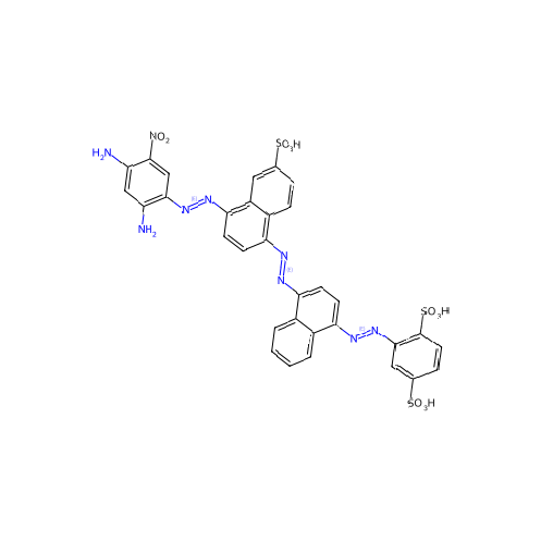 Nc1cc(N)c([N+](=O)[O-])cc1/N=N/c1ccc(/N=N/c2ccc(/N=N/c3cc(S(=O)(=O)O)ccc3S(=O)(=O)O)c3ccccc23)c2ccc(S(=O)(=O)O)cc12